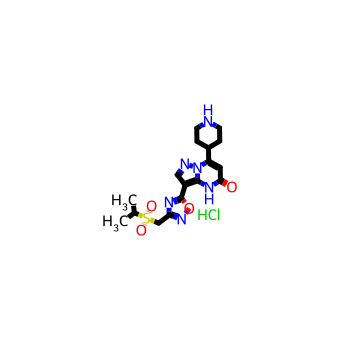 CC(C)S(=O)(=O)Cc1noc(-c2cnn3c(C4CCNCC4)cc(=O)[nH]c23)n1.Cl